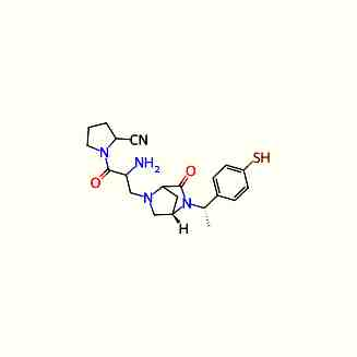 C[C@@H](c1ccc(S)cc1)N1C(=O)C2C[C@H]1CN2CC(N)C(=O)N1CCCC1C#N